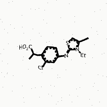 CCn1c(C)cs/c1=N\c1ccc(C(C)C(=O)O)c(Cl)c1